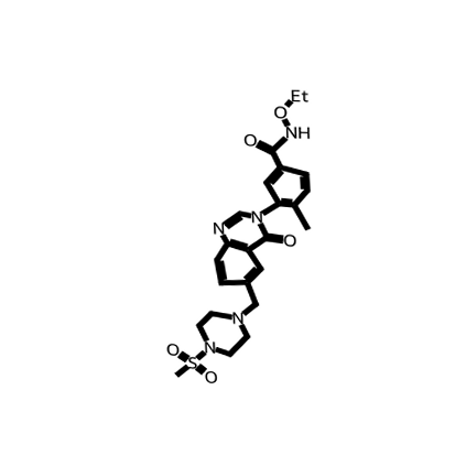 CCONC(=O)c1ccc(C)c(-n2cnc3ccc(CN4CCN(S(C)(=O)=O)CC4)cc3c2=O)c1